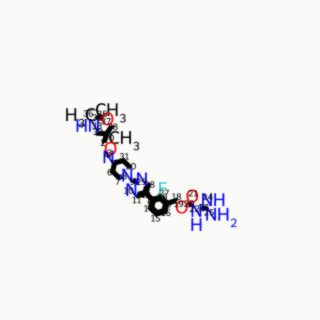 CC1(CON=C2CCN(c3ncc(-c4cccc(COC(=O)NC(=N)N)c4F)cn3)CC2)CNC(C)(C)OC1